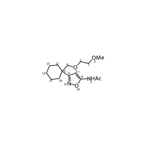 COCCOCC1(c2cc(NC(C)=O)on2)CCCCC1